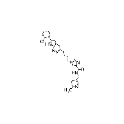 Cc1ccc(CNC(=O)c2cn(CCCCc3cc4cc(-c5ccccc5Cl)[nH]c4nn3)nn2)cn1